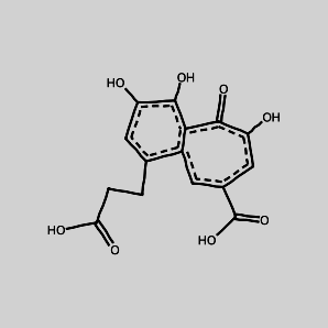 O=C(O)CCc1cc(O)c(O)c2c(=O)c(O)cc(C(=O)O)cc12